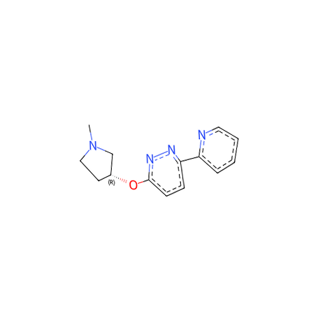 CN1CC[C@@H](Oc2ccc(-c3ccccn3)nn2)C1